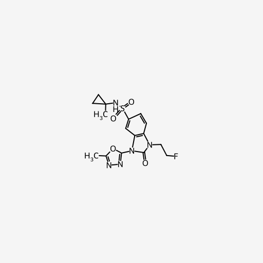 Cc1nnc(-n2c(=O)n(CCF)c3ccc(S(=O)(=O)NC4(C)CC4)cc32)o1